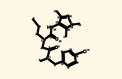 CCCN(CC(=O)N(C)Cc1ccc(Cl)cc1)C(=O)Nc1c(C)nn(C)c1C